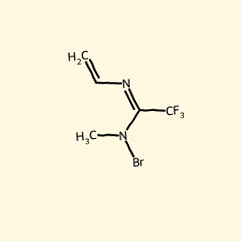 C=C/N=C(\N(C)Br)C(F)(F)F